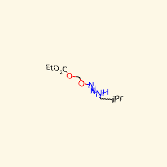 CCOC(=O)OCO/N=N/NCC(C)C